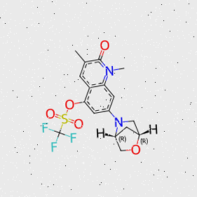 Cc1cc2c(OS(=O)(=O)C(F)(F)F)cc(N3C[C@H]4C[C@@H]3CO4)cc2n(C)c1=O